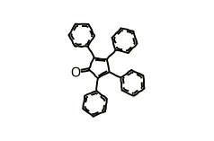 O=C1C(c2ccccc2)=C(c2ccccc2)C(c2ccccc2)=C1c1ccccc1